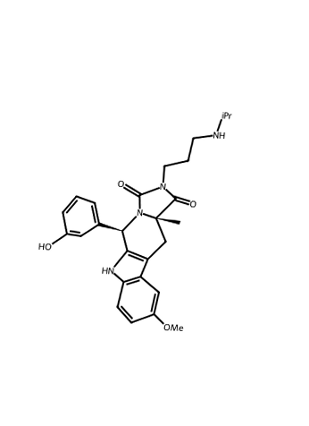 COc1ccc2[nH]c3c(c2c1)C[C@@]1(C)C(=O)N(CCCNC(C)C)C(=O)N1[C@@H]3c1cccc(O)c1